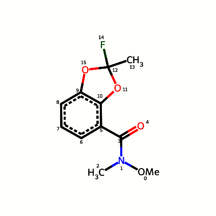 CON(C)C(=O)c1cccc2c1OC(C)(F)O2